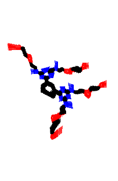 OCCOCCNc1nc(NCCOCCO)nc(C2CCCC(c3nc(NCCOCCO)nc(NCCOCCO)n3)C2)n1